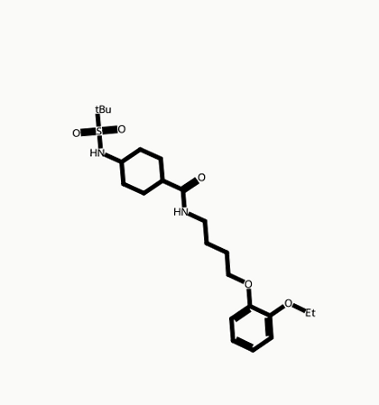 CCOc1ccccc1OCCCCNC(=O)C1CCC(NS(=O)(=O)C(C)(C)C)CC1